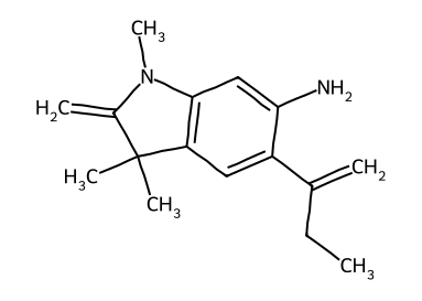 C=C(CC)c1cc2c(cc1N)N(C)C(=C)C2(C)C